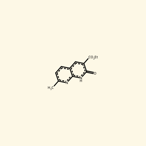 CCOC(=O)c1cc2ccc(C)nc2[nH]c1=O